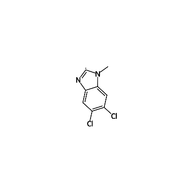 Cn1[c]nc2cc(Cl)c(Cl)cc21